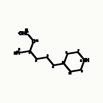 CCCC(CCCC1CCNCC1)O[C]=O